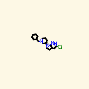 Clc1cc2c(nn1)N([C@@H]1CCCN(Cc3ccccc3)C1)CC2